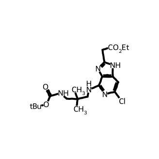 CCOC(=O)Cc1nc2c(NCC(C)(C)CNC(=O)OC(C)(C)C)nc(Cl)cc2[nH]1